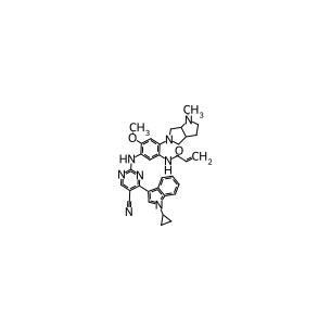 C=CC(=O)Nc1cc(Nc2ncc(C#N)c(-c3cn(C4CC4)c4ccccc34)n2)c(OC)cc1N1CC2CCN(C)C2C1